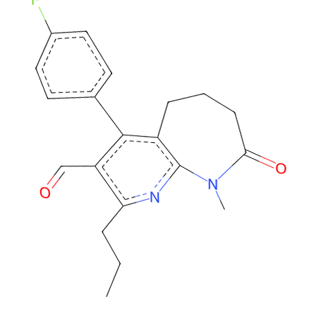 CCCc1nc2c(c(-c3ccc(F)cc3)c1C=O)CCCC(=O)N2C